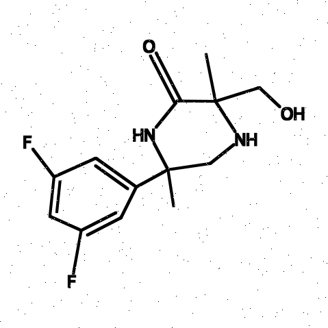 CC1(CO)NCC(C)(c2cc(F)cc(F)c2)NC1=O